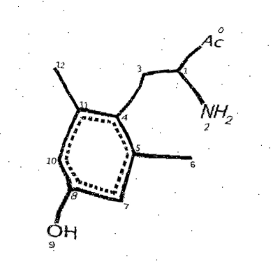 CC(=O)C(N)Cc1c(C)cc(O)cc1C